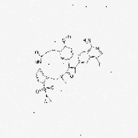 CC(C)Oc1ccc2cc1CCC(=O)Nc1ccc(S(=O)(=O)C3CC3)c(c1)CN(C)C(=O)[C@@H]2Nc1ccc2c(N)ncc(F)c2c1